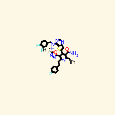 Cc1nnc(-c2c(CCc3ccc(F)cc3)nc(CC(C)C)c(C(N)=O)c2-c2cc3ncnc(NCc4ccc(F)c(F)c4)c3s2)o1